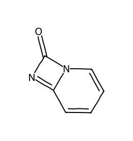 O=C1N=C2C=CC=CN12